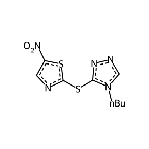 CCCCn1cnnc1Sc1ncc([N+](=O)[O-])s1